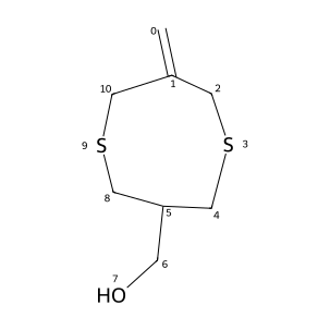 C=C1CSCC(CO)CSC1